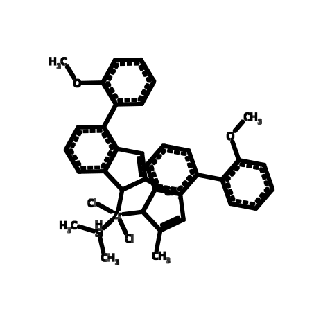 COc1ccccc1-c1cccc2c1C=C(C)[CH]2[Zr]([Cl])([Cl])([CH]1C(C)=Cc2c(-c3ccccc3OC)cccc21)[SiH](C)C